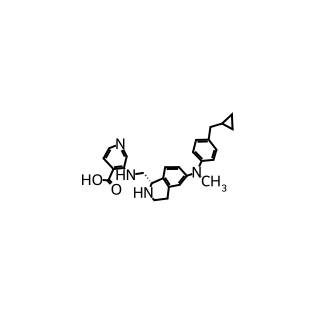 CN(c1ccc(CC2CC2)cc1)c1ccc2c(c1)CCN[C@@H]2CNc1cnccc1C(=O)O